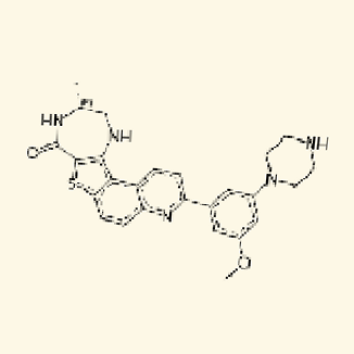 COc1cc(-c2ccc3c(ccc4sc5c(c43)NC[C@@H](C)NC5=O)n2)cc(N2CCNCC2)c1